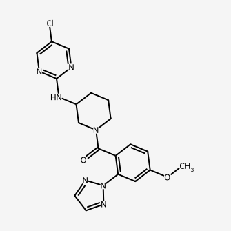 COc1ccc(C(=O)N2CCCC(Nc3ncc(Cl)cn3)C2)c(-n2nccn2)c1